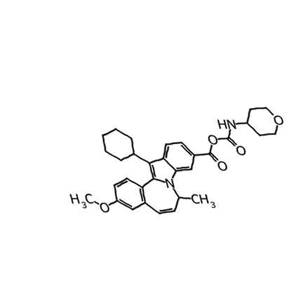 COc1ccc2c(c1)C=CC(C)n1c-2c(C2CCCCC2)c2ccc(C(=O)OC(=O)NC3CCOCC3)cc21